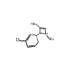 CCCCC1=C[C@@H](C(C)C)N1C1C=C(Cl)C=CC1